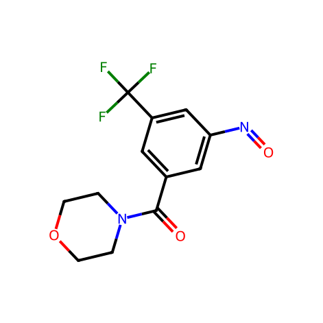 O=Nc1cc(C(=O)N2CCOCC2)cc(C(F)(F)F)c1